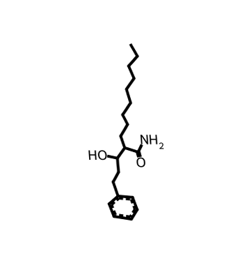 CCCCCCCCCC(C(N)=O)C(O)CCc1ccccc1